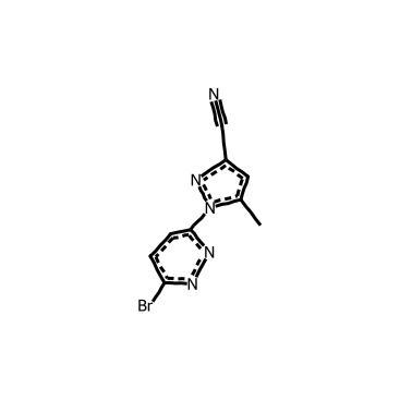 Cc1cc(C#N)nn1-c1ccc(Br)nn1